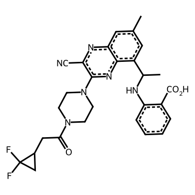 Cc1cc(C(C)Nc2ccccc2C(=O)O)c2nc(N3CCN(C(=O)CC4CC4(F)F)CC3)c(C#N)nc2c1